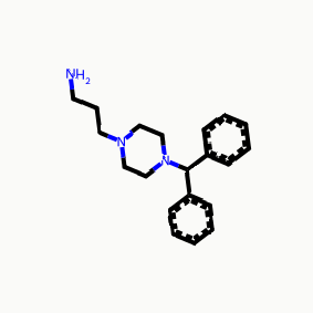 NCCCN1CCN(C(c2ccccc2)c2ccccc2)CC1